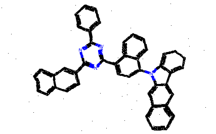 C1=c2c(n(-c3ccc(-c4nc(-c5ccccc5)nc(-c5ccc6ccccc6c5)n4)c4ccccc34)c3cc4ccccc4cc23)=CCC1